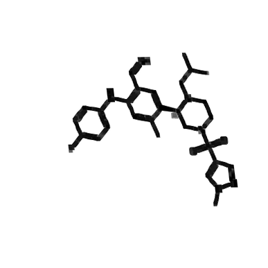 Cc1cc(Nc2ccc(F)cc2)c(C=N)cc1[C@@H]1CN(S(=O)(=O)c2cnn(C)c2)CCN1CC(C)C